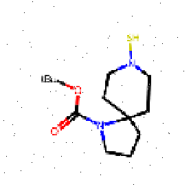 CC(C)(C)OC(=O)N1CCCC12CCN(S)CC2